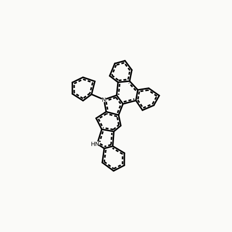 c1ccc(-n2c3cc4[nH]c5ccccc5c4cc3c3c4ccccc4c4ccccc4c32)cc1